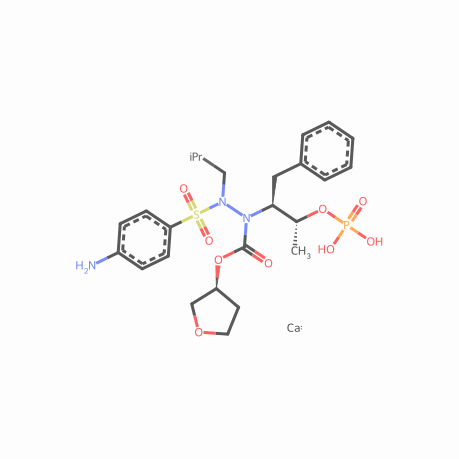 CC(C)CN(N(C(=O)O[C@H]1CCOC1)[C@@H](Cc1ccccc1)[C@@H](C)OP(=O)(O)O)S(=O)(=O)c1ccc(N)cc1.[Ca]